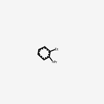 CCCc1ccc[c]c1CC